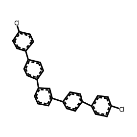 Clc1ccc(-c2ccc(-c3cccc(-c4ccc(-c5ccc(Cl)cc5)cc4)c3)cc2)cc1